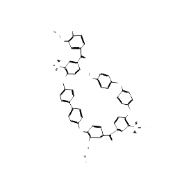 COc1ccc(Oc2ccc(Oc3ccc(C(=O)c4ccc(Oc5ccc(-c6ccc(Oc7ccc(C(=O)c8ccc(C)c(SOOO)c8)cc7S(=O)(=O)O)cc6)cc5)c(SOOO)c4)cc3S(=O)(=O)O)cc2)cc1